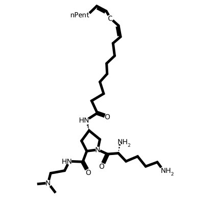 CCCCC/C=C\C/C=C\CCCCCCCC(=O)N[C@H]1CC(C(=O)NCCN(C)C)N(C(=O)[C@H](N)CCCCN)C1